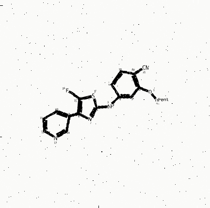 CCCCCOc1cc(Nc2nc(-c3cccnc3)c(F)s2)ccc1C#N